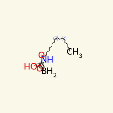 B[C@H]1C[C@H](CNC(=O)CCCCCCC/C=C\C/C=C\CCCCC)[C@@H](CO)O1